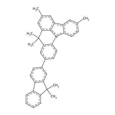 Cc1ccc2c(c1)c1cc(C)cc3c1n2-c1ccc(-c2ccc4c(c2)C(C)(C)c2ccccc2-4)cc1C3(C)C